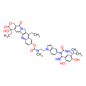 CCc1c2c(nc3ccc(OC(=O)N(C)CCn4ccc5cc(N(C(=N)c6cc(C(C)C)c(O)cc6O)C(N)=O)ccc54)cc13)-c1cc3c(c(=O)n1C2)COC(=O)C3(O)CC